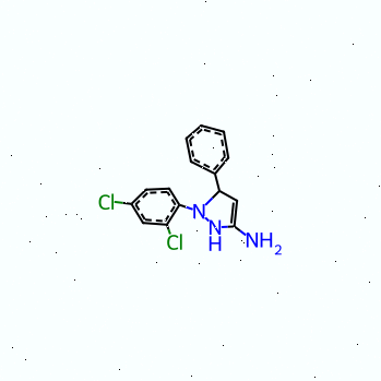 NC1=CC(c2ccccc2)N(c2ccc(Cl)cc2Cl)N1